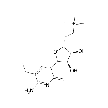 C=C1N=C(N)C(CC)=CN1C1O[C@H](CCP(=C)(C)C)[C@@H](O)[C@H]1O